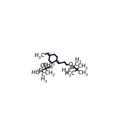 C/C=C1/CC/C(=C\CCO[Si](C)(C)C(C)(C)C)[C@H](CC(C)(C)[Si](C)(C)O)C1